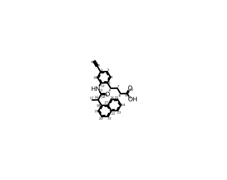 C#Cc1ccc(CCCC(=O)O)c(NC(=O)C(C)c2cccc3ccccc23)c1